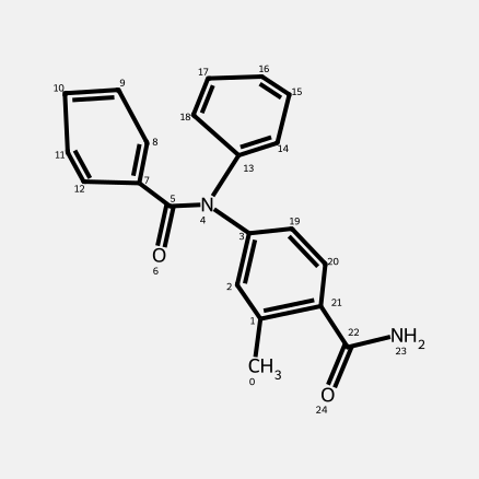 Cc1cc(N(C(=O)c2ccccc2)c2ccccc2)ccc1C(N)=O